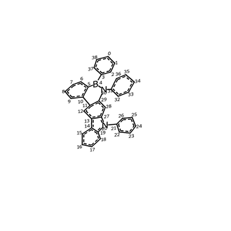 c1ccc(B2c3ccccc3-c3cc4c5ccccc5n(-c5ccccc5)c4cc3N2c2ccccc2)cc1